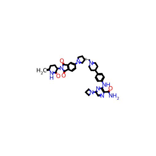 C=C1CCC(N2C(=O)c3ccc(N4CC[C@H](CN5CCC(c6ccc(Nc7nc(N8CCC8)cnc7C(N)=O)cc6)CC5)C4)cc3C2=O)C(=O)N1